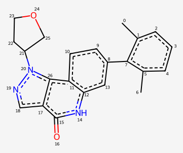 Cc1cccc(C)c1-c1ccc2c(c1)[nH]c(=O)c1cnn(C3CCOC3)c12